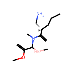 C=C(OC)C(BC)N(C)C(=C)[C@H](CN)CCC